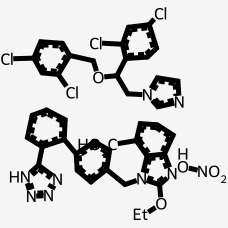 CCOc1nc2cccc(C(=O)O)c2n1Cc1ccc(-c2ccccc2-c2nnn[nH]2)cc1.Clc1ccc(COC(Cn2ccnc2)c2ccc(Cl)cc2Cl)c(Cl)c1.O=[N+]([O-])O